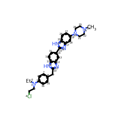 CCN(CCCl)c1ccc(Cc2nc3cc(-c4nc5cc(N6CCN(C)CC6)ccc5[nH]4)ccc3[nH]2)cc1